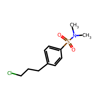 CN(C)S(=O)(=O)c1ccc(CCCCl)cc1